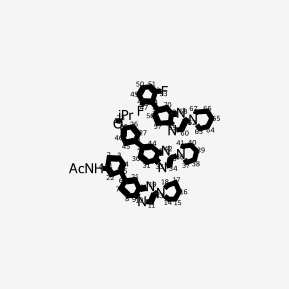 CC(=O)Nc1cccc(-c2ccc3ncc(N4CCCCC4)nc3c2)c1.CC(C)Oc1ccc(-c2ccc3ncc(N4CCCCC4)nc3c2)cc1.Fc1cccc(F)c1-c1ccc2ncc(N3CCCCC3)nc2c1